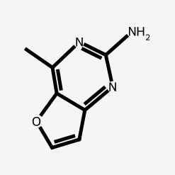 Cc1nc(N)nc2ccoc12